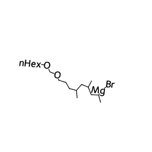 CCCCCCOCOCCCC(C)CC(C)C[CH](C)[Mg][Br]